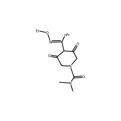 CCCC(=NOCC)C1C(=O)CN(C(=O)N(C)C)CC1=O